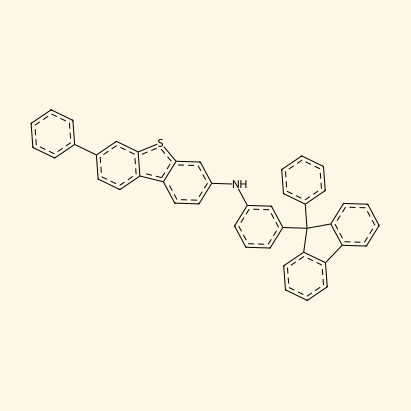 c1ccc(-c2ccc3c(c2)sc2cc(Nc4cccc(C5(c6ccccc6)c6ccccc6-c6ccccc65)c4)ccc23)cc1